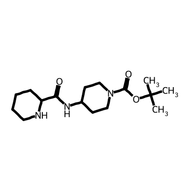 CC(C)(C)OC(=O)N1CCC(NC(=O)C2CCCCN2)CC1